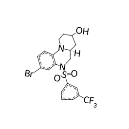 O=S(=O)(c1cccc(C(F)(F)F)c1)N1C[C@@H]2CC(O)CCN2c2ccc(Br)cc21